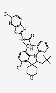 COc1ccc(Cl)c2c1N(c1ccccc1NC(=O)Nc1nc3ccc(Cl)nc3s1)C(CC(C)(C)C)C21CCNCC1